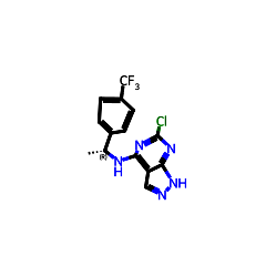 C[C@@H](Nc1nc(Cl)nc2[nH]ncc12)c1ccc(C(F)(F)F)cc1